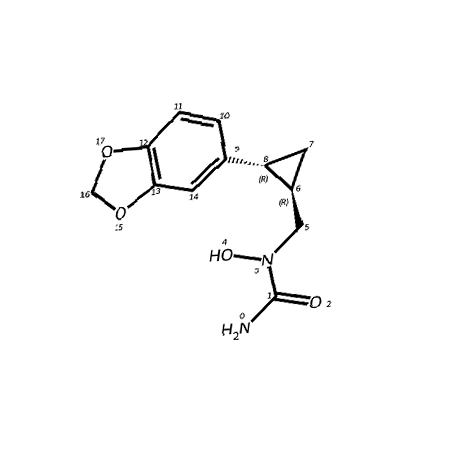 NC(=O)N(O)C[C@@H]1C[C@H]1c1ccc2c(c1)OCO2